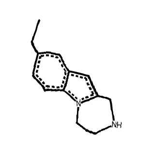 CCc1ccc2c(c1)cc1n2CCNC1